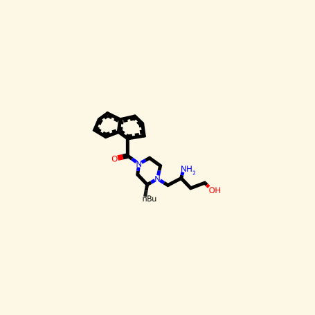 CCCCC1CN(C(=O)c2cccc3ccccc23)CCN1CC(N)CCO